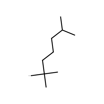 [CH2]C(C)(C)CCCC(C)C